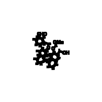 COCOc1c(CO)cc2ccccc2c1-c1c(OCc2cccc(C=O)c2)ccc2ccccc12